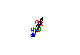 Cc1ccc(N2C(=O)c3ccc(C(=O)NCCCN4CCCCC4C)cc3C2=O)cc1.Cl